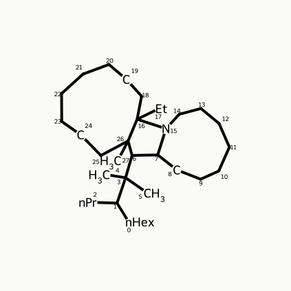 CCCCCCC(CCC)C(C)(C)C1C2CCCCCCCN2C2(CC)CCCCCCCCC12C